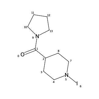 O=C(C1CCN(I)CC1)N1CCCC1